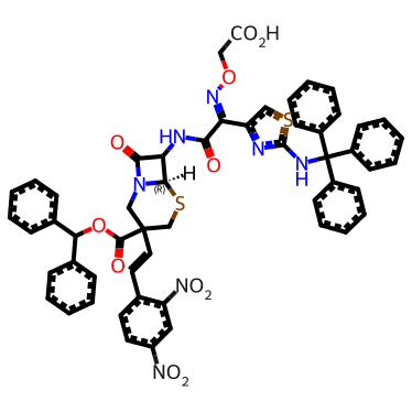 O=C(O)CON=C(C(=O)NC1C(=O)N2CC(C=Cc3ccc([N+](=O)[O-])cc3[N+](=O)[O-])(C(=O)OC(c3ccccc3)c3ccccc3)CS[C@H]12)c1csc(NC(c2ccccc2)(c2ccccc2)c2ccccc2)n1